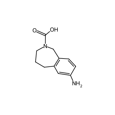 Nc1ccc2c(c1)CCCN(C(=O)O)C2